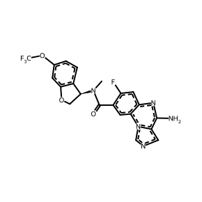 CN(C(=O)c1cc2c(cc1F)nc(N)c1cncn12)[C@H]1COc2cc(OC(F)(F)F)ccc21